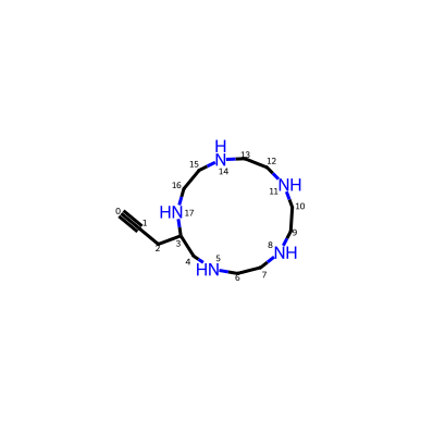 C#CCC1CNCCNCCNCCNCCN1